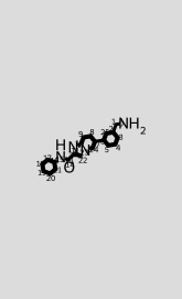 NCc1cccc(-c2ccc3nc(C(=O)Nc4ccccc4)cn3c2)c1